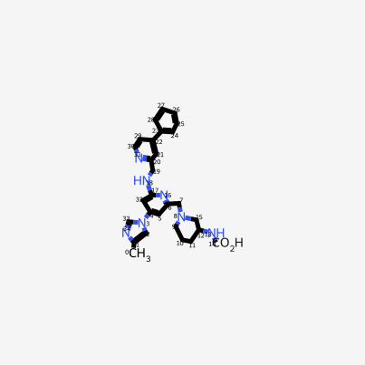 Cc1cn(-c2cc(CN3CCCC(NC(=O)O)C3)nc(NCc3cc(-c4ccccc4)ccn3)c2)cn1